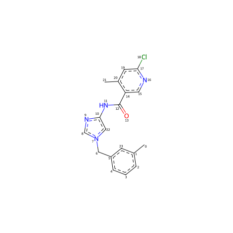 Cc1cccc(Cn2cnc(NC(=O)c3cnc(Cl)cc3C)c2)c1